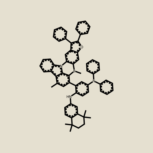 CB1c2cc3oc(-c4ccccc4)c(-c4ccccc4)c3cc2-n2c3ccccc3c3c(C)cc(-c4cc(N(c5ccccc5)c5ccccc5)ccc4Nc4ccc5c(c4)C(C)(C)CCC5(C)C)c1c32